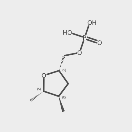 C[C@@H]1C[C@@H](COP(=O)(O)O)O[C@H]1C